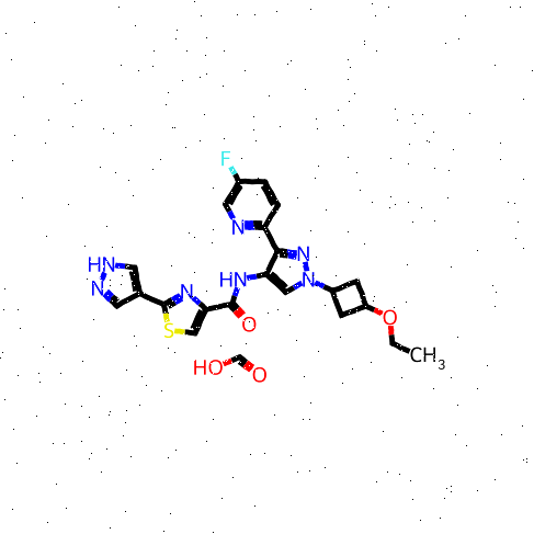 CCOC1CC(n2cc(NC(=O)c3csc(-c4cn[nH]c4)n3)c(-c3ccc(F)cn3)n2)C1.O=CO